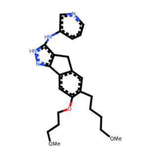 COCCCCc1cc2c(cc1OCCCOC)-c1n[nH]c(Nc3cccnc3)c1C2